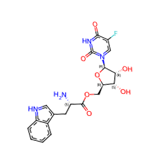 N[C@@H](Cc1c[nH]c2ccccc12)C(=O)OC[C@H]1O[C@@H](n2cc(F)c(=O)[nH]c2=O)[C@H](O)[C@@H]1O